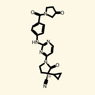 N#C[C@@]1(C2CC2)CCN(c2ccnc(Nc3ccc(C(=O)N4CCC(=O)C4)cc3)n2)C1=O